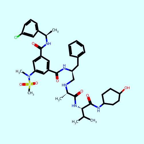 CC(C)[C@H](NC(=O)[C@H](C)NC[C@H](Cc1ccccc1)NC(=O)c1cc(C(=O)N[C@H](C)c2cccc(Cl)c2)cc(N(C)S(C)(=O)=O)c1)C(=O)NC1CCC(O)CC1